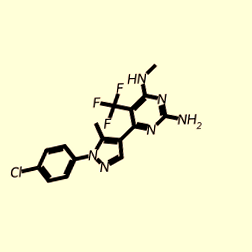 CNc1nc(N)nc(-c2cnn(-c3ccc(Cl)cc3)c2C)c1C(F)(F)F